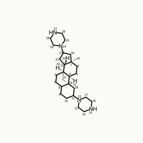 C[C@]12CC[C@@H]3[C@@H](CCC4CCC(N5CCNCC5)C[C@@]43C)[C@@H]1CC(N1CCNCC1)C2